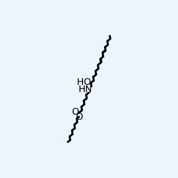 CCCCCC=CCC=CCCCCCCC(O)CNCCCCCCCC(=O)OCCCCCCCCC